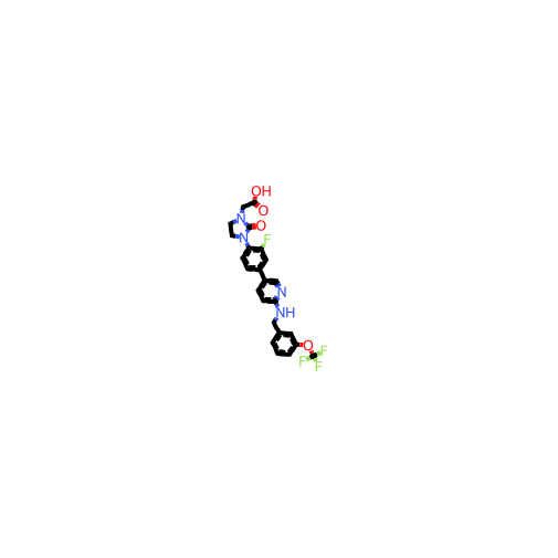 O=C(O)CN1CCN(c2ccc(-c3ccc(NCc4cccc(OC(F)(F)F)c4)nc3)cc2F)C1=O